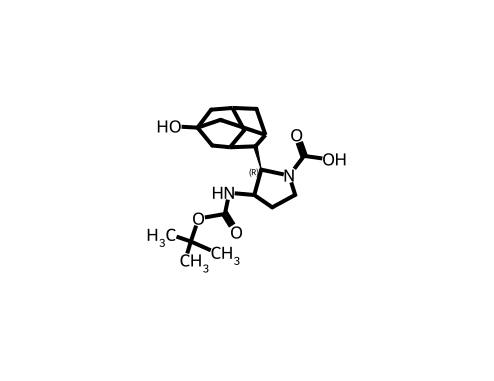 CC(C)(C)OC(=O)NC1CCN(C(=O)O)[C@@H]1C1C2CC3CC1CC(O)(C3)C2